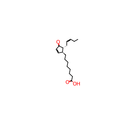 CC/C=C\C[C@H]1C(=O)C=C[C@@H]1CCCCCCCC(=O)O